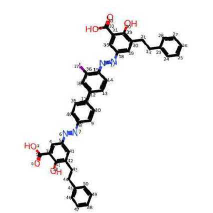 O=C(O)c1cc(N=Nc2ccc(-c3ccc(N=Nc4cc(CCc5ccccc5)c(O)c(C(=O)O)c4)c(I)c3)cc2)cc(CCc2ccccc2)c1O